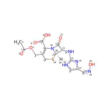 CC(=O)OCC1=C(C(=O)O)N2C(=O)C(Nc3nc(/C=N\O)c[nH]3)[C@H]2SC1